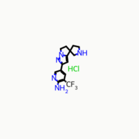 Cl.Nc1ncc(-c2cc3n(n2)CCC32CCNC2)cc1C(F)(F)F